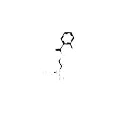 CCN(C)CCOC(=O)c1ccccc1I